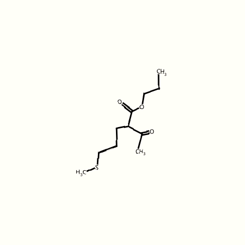 CCCOC(=O)C(CCCSC)C(C)=O